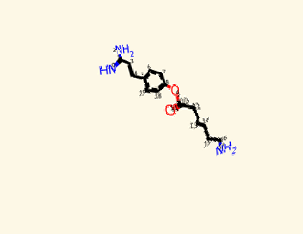 N=C(N)C=Cc1ccc(OC(=O)CCCCCN)cc1